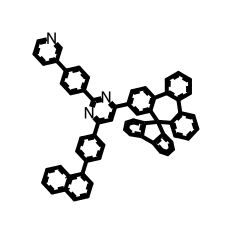 c1cncc(-c2ccc(-c3nc(-c4ccc(-c5cccc6ccccc56)cc4)cc(-c4ccc5c(c4)C4(c6ccccc6-c6ccccc6-5)c5ccccc5-c5ccccc54)n3)cc2)c1